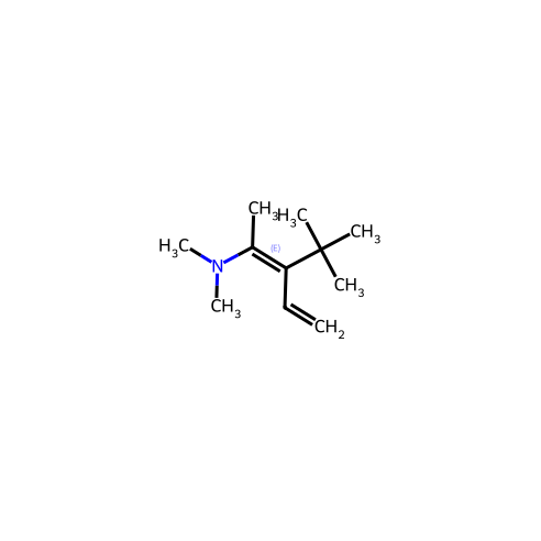 C=C/C(=C(/C)N(C)C)C(C)(C)C